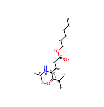 CCCCCCOC(=O)CC[C@H](NC(C)C)C(=O)C(C)C